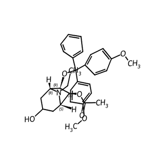 CCN1[C@@H]2CC(O)C[C@H]1[C@H](OC(C)=O)[C@@H]2OC(c1ccccc1)(c1ccc(OC)cc1)c1ccc(OC)cc1